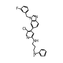 CN(CCCNc1cc(-c2ccc3ncn(Cc4cccc(F)c4)c3c2)c(Cl)cn1)c1ccccc1